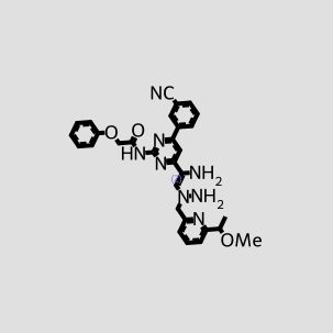 COC(C)c1cccc(CN(N)/C=C(\N)c2cc(-c3cccc(C#N)c3)nc(NC(=O)COc3ccccc3)n2)n1